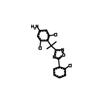 CC(C)(c1noc(-c2ccccc2Cl)n1)c1c(Cl)cc(N)cc1Cl